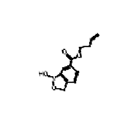 C=CCCOC(=O)c1ccc2c(c1)B(O)OC2